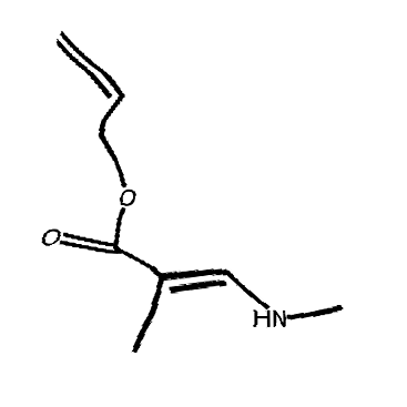 C=CCOC(=O)C(C)=CNC